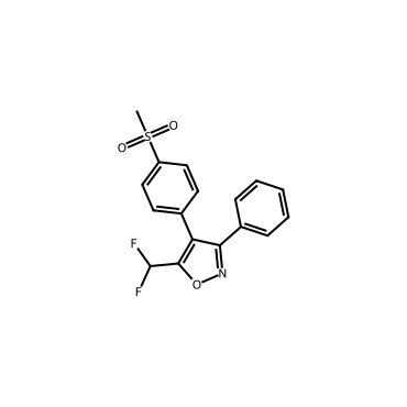 CS(=O)(=O)c1ccc(-c2c(-c3ccccc3)noc2C(F)F)cc1